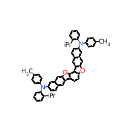 Cc1ccc(N(c2ccc3cc4c(cc3c2)oc2c4ccc3oc4cc5cc(N(c6ccc(C)cc6)c6ccccc6C(C)C)ccc5cc4c32)c2ccccc2C(C)C)cc1